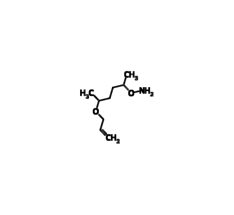 C=CCOC(C)CCC(C)ON